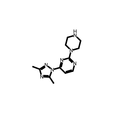 Cc1nc(C)n(-c2ccnc(N3CCNCC3)n2)n1